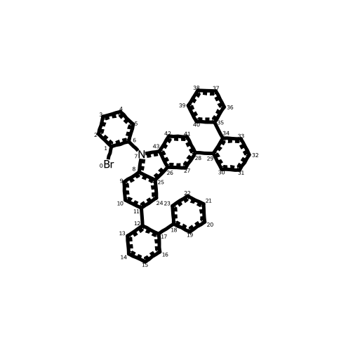 Brc1ccccc1-n1c2ccc(-c3ccccc3-c3ccccc3)cc2c2cc(-c3ccccc3-c3ccccc3)ccc21